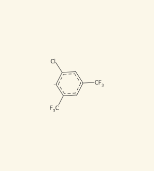 FC(F)(F)c1[c]c(Cl)cc(C(F)(F)F)c1